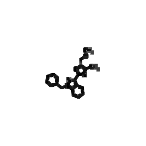 COCc1oc(-c2nn(Cc3ccccc3)c3ccccc23)nc1C